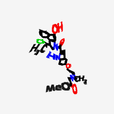 COC(=O)CN(C)CCOc1ccc2[nH]c(C(=O)N3CC(C(C)Cl)c4c3cc(O)c3ccccc43)cc2c1